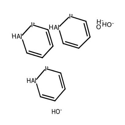 C1=[CH][AlH][I+]C=C1.C1=[CH][AlH][I+]C=C1.C1=[CH][AlH][I+]C=C1.[OH-].[OH-].[OH-]